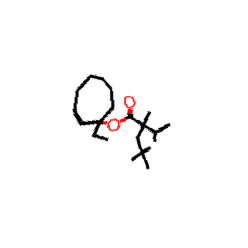 CCC1(OC(=O)C(C)(CC(C)(C)C)C(C)C)CCCCCCC1